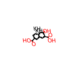 O=C(O)c1ccc2cc(O)c(C(=O)O)cc2c1.[KH].[KH]